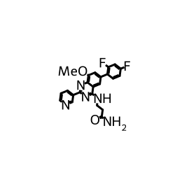 COc1cc(-c2ccc(F)cc2F)cc2c(NCCC(N)=O)nc(-c3cccnc3)nc12